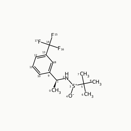 C[C@H](N[S+]([O-])C(C)(C)C)c1cccc(C(F)(F)F)c1